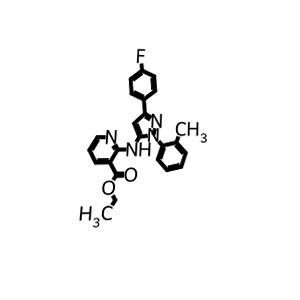 CCOC(=O)c1cccnc1Nc1cc(-c2ccc(F)cc2)nn1-c1ccccc1C